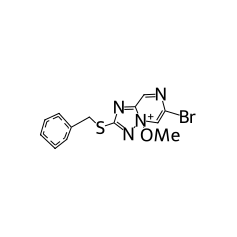 CO[N+]12C=C(Br)N=CC1=NC(SCc1ccccc1)=N2